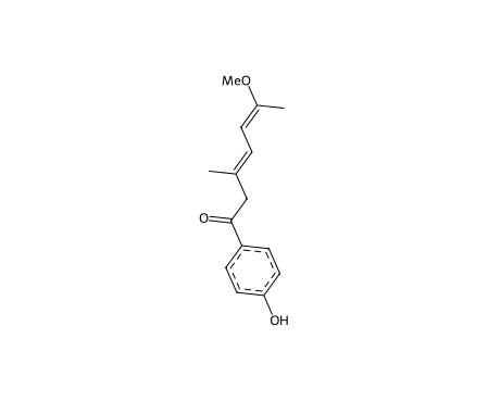 CO/C(C)=C/C=C(\C)CC(=O)c1ccc(O)cc1